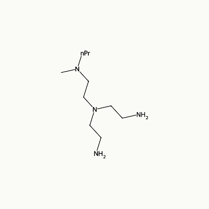 CCCN(C)CCN(CCN)CCN